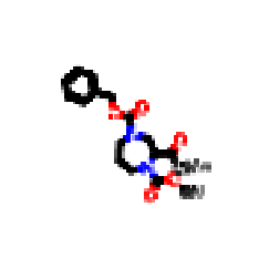 COC(=O)C1CN(C(=O)OCc2ccccc2)CCCN1C(=O)OC(C)(C)C